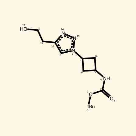 CC(C)(C)OC(=O)NC1CC(n2cc(CCO)nn2)C1